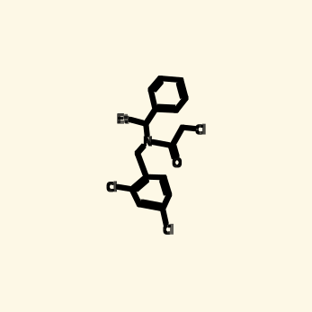 CCC(c1ccccc1)N(Cc1ccc(Cl)cc1Cl)C(=O)CCl